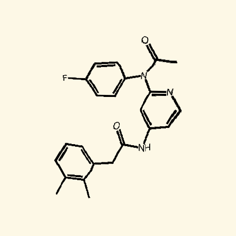 CC(=O)N(c1ccc(F)cc1)c1cc(NC(=O)Cc2cccc(C)c2C)ccn1